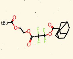 CC(C)(C)C(=O)OCCOC(=O)C(F)(F)C(F)(F)OC(=O)C12CC3CC(CC(C3)C1)C2